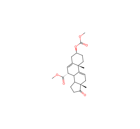 COC(=O)O[C@H]1CC[C@@]2(C)C(=C[C@@H](C(=O)OC)C3C2=CC[C@]2(C)C(=O)CCC32)C1